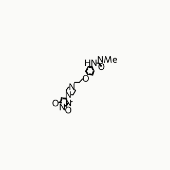 CNC(=O)Nc1ccc(OCCCN2CCN(c3cc(=O)n(C)c(=O)n3C)CC2)cc1